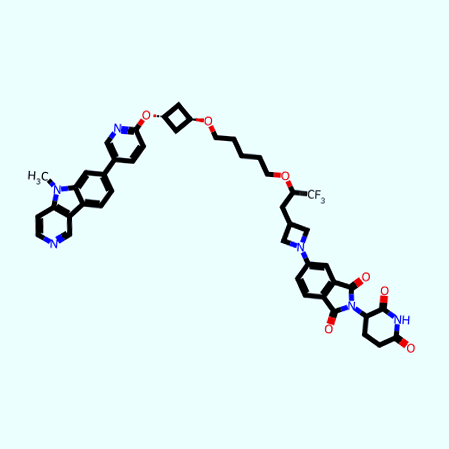 Cn1c2ccncc2c2ccc(-c3ccc(O[C@H]4C[C@H](OCCCCCOC(CC5CN(c6ccc7c(c6)C(=O)N(C6CCC(=O)NC6=O)C7=O)C5)C(F)(F)F)C4)nc3)cc21